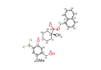 COc1cc(C(F)F)c(O[C@H]2CC[C@@](C)(C(=O)OCc3cccc4ccccc34)CC2)cc1CO